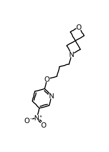 O=[N+]([O-])c1ccc(OCCCN2CC3(COC3)C2)nc1